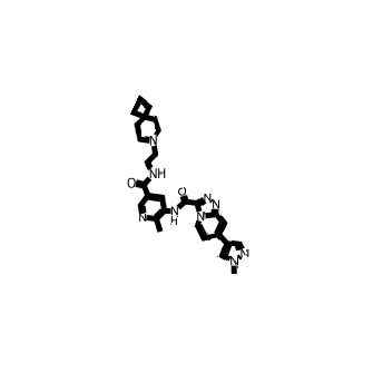 Cc1ncc(C(=O)NCCN2CCC3(CCC3)CC2)cc1NC(=O)c1nnc2cc(-c3cnn(C)c3)ccn12